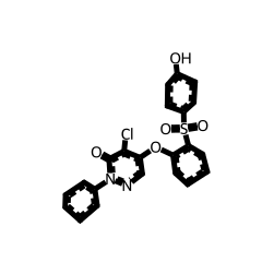 O=c1c(Cl)c(Oc2ccccc2S(=O)(=O)c2ccc(O)cc2)cnn1-c1ccccc1